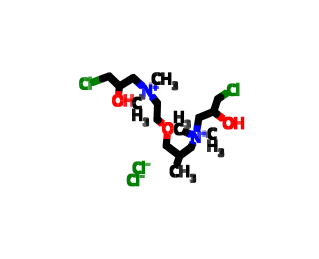 CC(COCC[N+](C)(C)CC(O)CCl)C[N+](C)(C)CC(O)CCl.[Cl-].[Cl-]